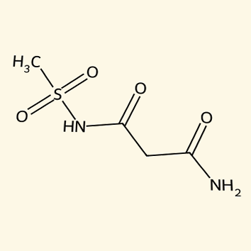 CS(=O)(=O)NC(=O)CC(N)=O